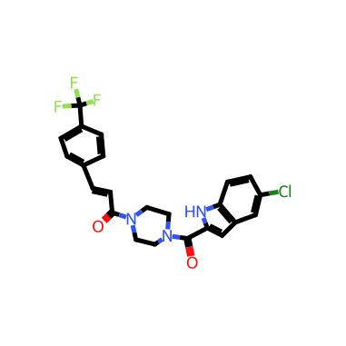 O=C(/C=C/c1ccc(C(F)(F)F)cc1)N1CCN(C(=O)c2cc3cc(Cl)ccc3[nH]2)CC1